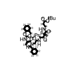 CC(C)C(NC(=O)Cn1c(-c2ccccc2)ncc(NC(=O)OCc2ccccc2)c1=O)C(=O)C(F)(F)C(=O)NCCC(=O)OC(C)(C)C